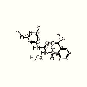 COC(=O)c1ccccc1S(=O)(=O)NC(=O)Nc1nc(C)nc(OC)n1.[CaH2]